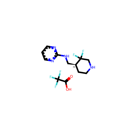 FC1(F)CNCC[C@H]1CNc1ncccn1.O=C(O)C(F)(F)F